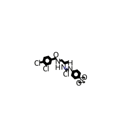 C=C(CNC(=O)c1ccc(Cl)c(Cl)c1)/N=C(/Cl)Nc1ccc(S(C)(=O)=O)cc1